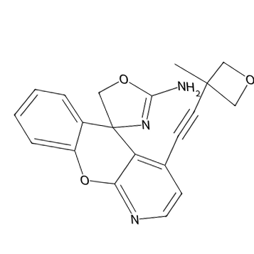 CC1(C#Cc2ccnc3c2C2(COC(N)=N2)c2ccccc2O3)COC1